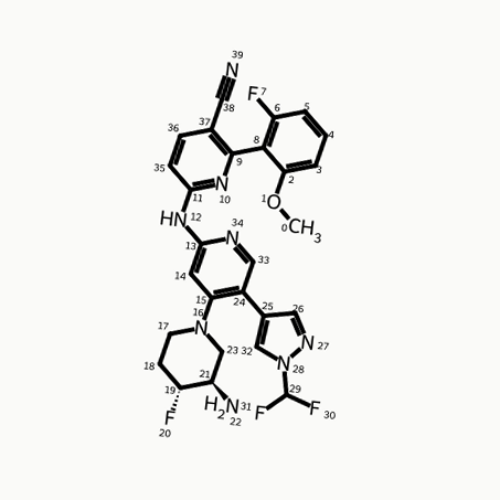 COc1cccc(F)c1-c1nc(Nc2cc(N3CC[C@@H](F)[C@H](N)C3)c(-c3cnn(C(F)F)c3)cn2)ccc1C#N